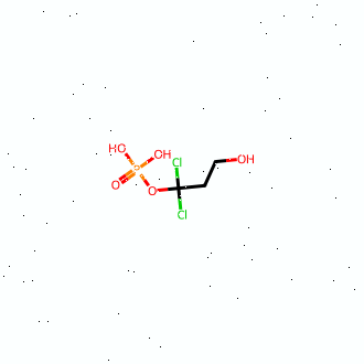 O=P(O)(O)OC(Cl)(Cl)CCO